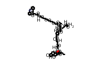 CCCC1O[C@@H]2CC3[C@@H]4CCC5=CC(=O)C=C[C@]5(C)C4[C@@H](O)C[C@]3(C)[C@]2(C(=O)COCNC(=O)CCCNC(=O)OCc2ccc(NC(=O)[C@H](CCCNC(N)=O)NC(=O)[C@@H](NC(=O)CCOCCOCCOCCOCCNC(=O)CCC(=O)N3Cc4ccccc4/C=C\c4ccccc43)C(C)C)cc2)O1